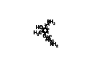 BCCc1ccc(OC2CN(CN)C2)c(C)c1O